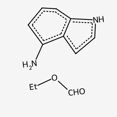 CCOC=O.Nc1cccc2[nH]ccc12